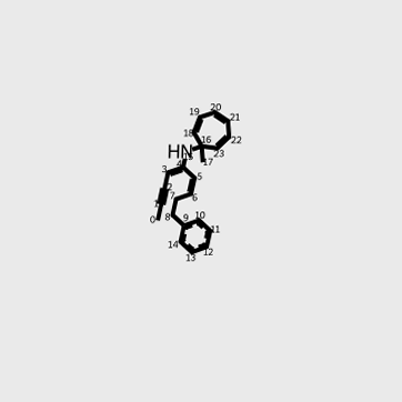 CC#C/C=C(\C=C/CCc1ccccc1)NC1(C)C=CC=CC=C1